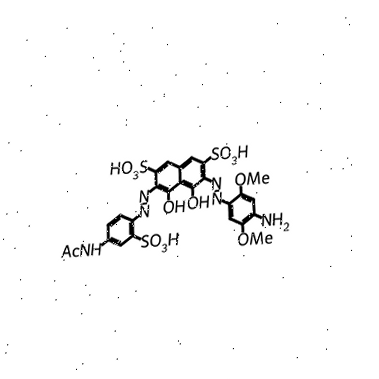 COc1cc(/N=N/c2c(S(=O)(=O)O)cc3cc(S(=O)(=O)O)c(/N=N/c4ccc(NC(C)=O)cc4S(=O)(=O)O)c(O)c3c2O)c(OC)cc1N